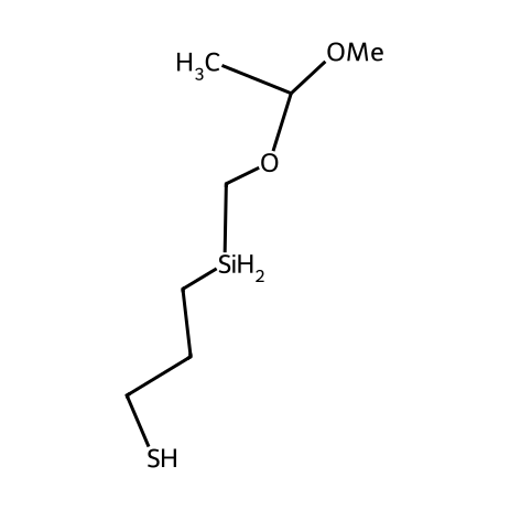 COC(C)OC[SiH2]CCCS